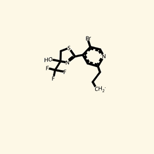 [CH2]CCc1cc(C2=NC(O)(C(F)(F)F)CS2)c(Br)cn1